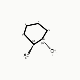 CC(=O)[C@H]1CCCC[C@@H]1C